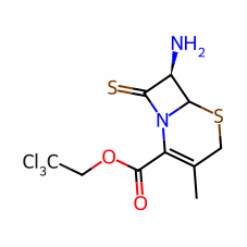 CC1=C(C(=O)OCC(Cl)(Cl)Cl)N2C(=S)[C@@H](N)C2SC1